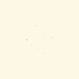 Cc1noc(-c2ccc(Br)cc2)c1C(CO)OCc1cccc(C(F)(F)F)c1